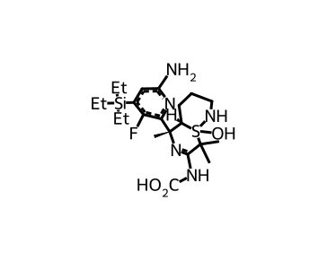 CC[Si](CC)(CC)c1cc(N)nc([C@@]2(C)N=C(NC(=O)O)C(C)(C)S3(O)NCCC[C@@H]23)c1F